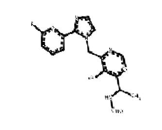 CCCc1c(Cn2ccnc2-c2cccc(F)n2)ncnc1C(C)NC=O